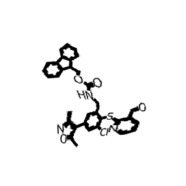 Cc1noc(C)c1-c1cc(Cl)c(Sc2ncccc2C=O)c(CNC(=O)OCC2c3ccccc3-c3ccccc32)c1